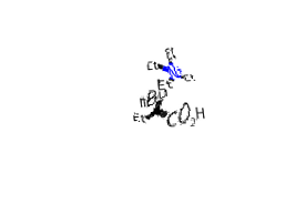 CCCCC(CC)C(=O)O.CC[N+](CC)(CC)CC